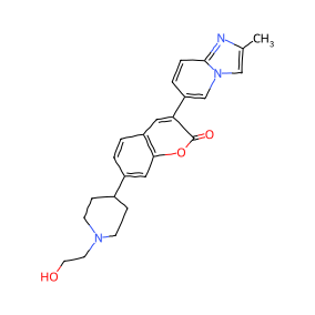 Cc1cn2cc(-c3cc4ccc(C5CCN(CCO)CC5)cc4oc3=O)ccc2n1